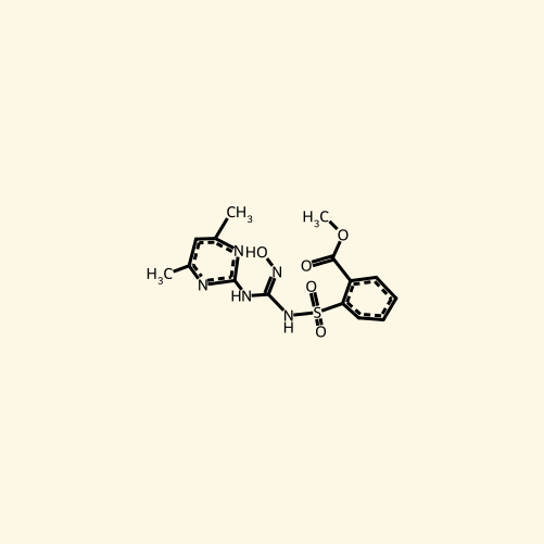 COC(=O)c1ccccc1S(=O)(=O)NC(=NO)Nc1nc(C)cc(C)n1